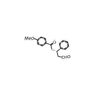 COc1ccc(C(=O)C[C@@H](CC=O)c2ccccc2)cc1